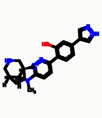 CN(c1ccc(-c2ccc(-c3cn[nH]c3)cc2O)nn1)[C@@H]1[C@@H]2CC[C@H]1CNC2